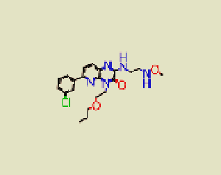 CCCOCCn1c(=O)c(NCCNOC)nc2ccc(-c3cccc(Cl)c3)nc21